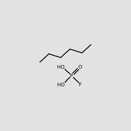 CCCCCC.O=P(O)(O)F